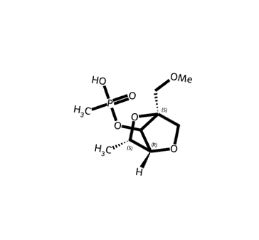 COC[C@]12CO[C@@H](C1OP(C)(=O)O)[C@H](C)O2